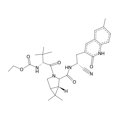 CCOC(=O)N[C@@H](C(=O)N1CC2[C@H](C1C(=O)N[C@@H](C#N)Cc1cc3cc(C)ccc3[nH]c1=O)C2(C)C)C(C)(C)C